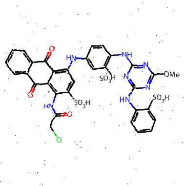 COc1nc(Nc2ccccc2S(=O)(=O)O)nc(Nc2ccc(Nc3cc(S(=O)(=O)O)c(NC(=O)CCl)c4c3C(=O)c3ccccc3C4=O)cc2S(=O)(=O)O)n1